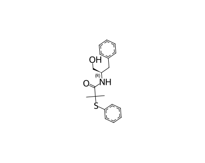 CC(C)(Sc1ccccc1)C(=O)N[C@@H](CO)Cc1ccccc1